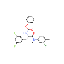 Cc1ccc(N(C)C(=O)[C@H](Cc2cc(F)cc(F)c2)NC(=O)Oc2ccccc2)cc1Cl